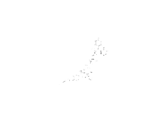 CC#CCOc1ccc(S(=O)(=O)C(CCCCNC(=O)CNC(=O)C(c2ccccc2)c2ccccc2)C(=O)ON)cc1